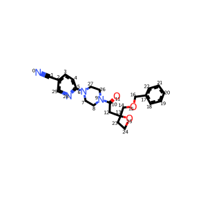 N#Cc1ccc(N2CCN(C(=O)CC3(COCc4ccccc4)CCO3)CC2)nc1